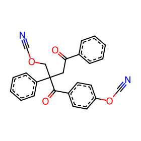 N#COCC(CC(=O)c1ccccc1)(C(=O)c1ccc(OC#N)cc1)c1ccccc1